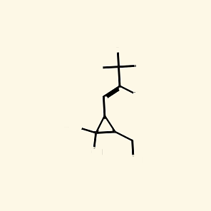 CCC1C(C=C(F)C(F)(F)F)C1(C)C